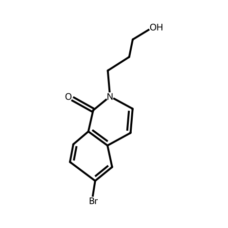 O=c1c2ccc(Br)cc2ccn1CCCO